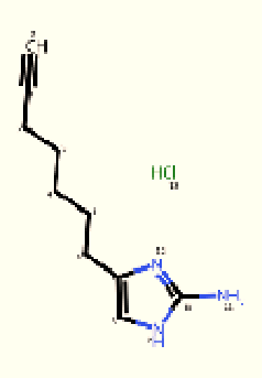 C#CCCCCCc1c[nH]c(N)n1.Cl